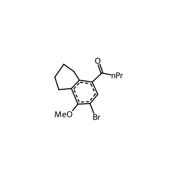 CCCC(=O)c1cc(Br)c(OC)c2c1CCCC2